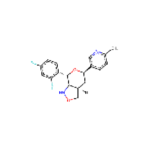 Cc1ccc([C@H]2C[C@H]3CONC3[C@H](c3ccc(F)cc3F)O2)cn1